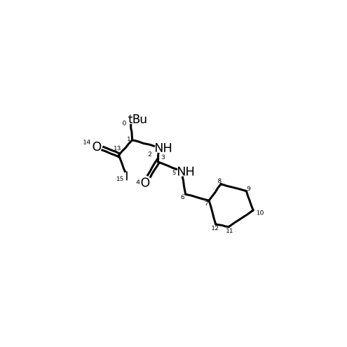 CC(C)(C)C(NC(=O)NCC1CCCCC1)C(=O)I